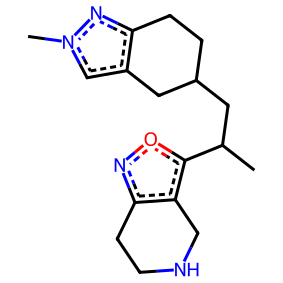 CC(CC1CCc2nn(C)cc2C1)c1onc2c1CNCC2